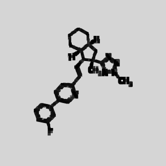 Cn1nnc([C@@]2(C)C[C@H]3CCCC[C@H]3[C@@H]2/C=C/c2ccc(-c3cccc(F)c3)cn2)n1